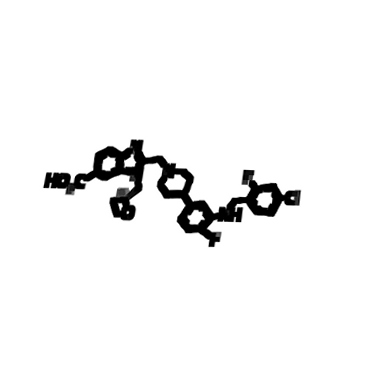 O=C(O)c1ccc2nc(CN3CC=C(c4ccc(F)c(NCc5ccc(Cl)cc5F)c4)CC3)n(C[C@@H]3CCO3)c2c1